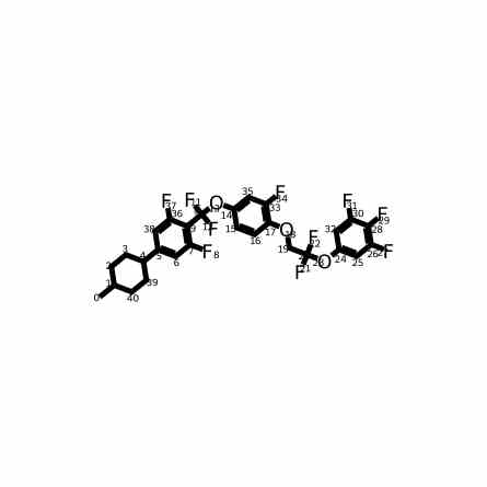 CC1CCC(c2cc(F)c(C(F)(F)Oc3ccc(OCC(F)(F)Oc4cc(F)c(F)c(F)c4)c(F)c3)c(F)c2)CC1